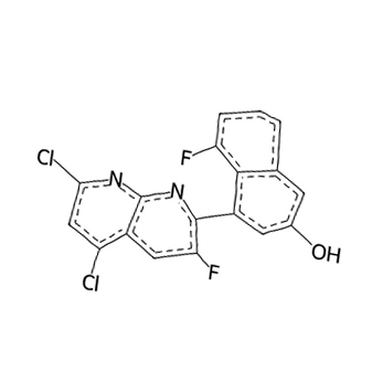 Oc1cc(-c2nc3nc(Cl)cc(Cl)c3cc2F)c2c(F)cccc2c1